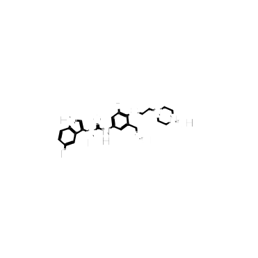 CN1CCN(CCOc2c(F)cc(NC(=O)Nc3c[nH]c4ccc(F)cc34)cc2CSC(F)(F)F)CC1